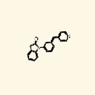 O=C1Cc2ccccc2N1C1=CC=CC(=Cc2ccncc2)C1